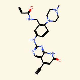 C#Cc1cc(=O)[nH]c2nc(Nc3ccc(N4CCN(C)CC4)c(CNC(=O)C=C)c3)ncc12